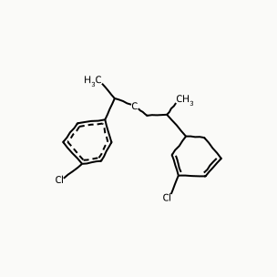 CC(CCC(C)C1C=C(Cl)C=CC1)c1ccc(Cl)cc1